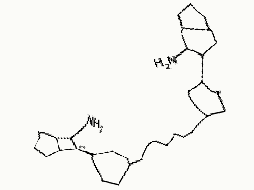 NC1C2CCCC2CC1C1CCC(CCCCCC2CCC([C@@H]3C(N)C4CCCC43)C2)C1